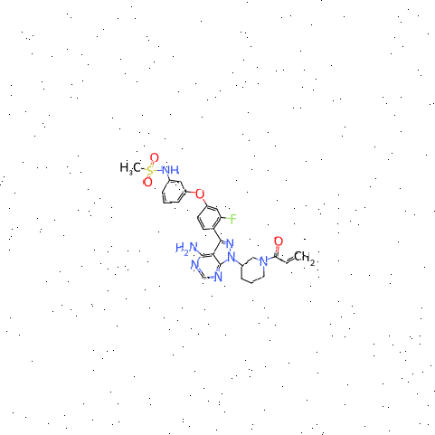 C=CC(=O)N1CCCC(n2nc(-c3ccc(Oc4cccc(NS(C)(=O)=O)c4)cc3F)c3c(N)ncnc32)C1